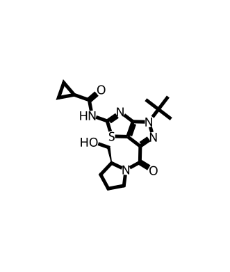 CC(C)(C)n1nc(C(=O)N2CCC[C@H]2CO)c2sc(NC(=O)C3CC3)nc21